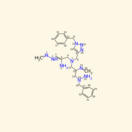 C=NN/C=C(\N)CN(Cc1cn(Cc2ccccc2)nn1)CC(CN(N)Cc1ccccc1)N=C